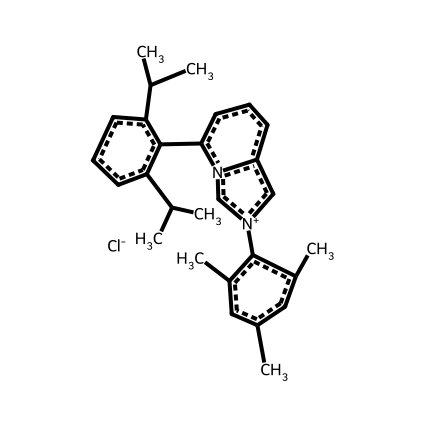 Cc1cc(C)c(-[n+]2cc3cccc(-c4c(C(C)C)cccc4C(C)C)n3c2)c(C)c1.[Cl-]